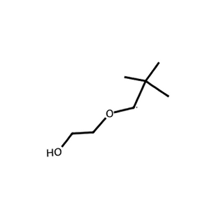 CC(C)(C)[CH]OCCO